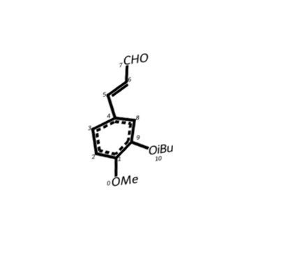 COc1ccc(C=CC=O)cc1OCC(C)C